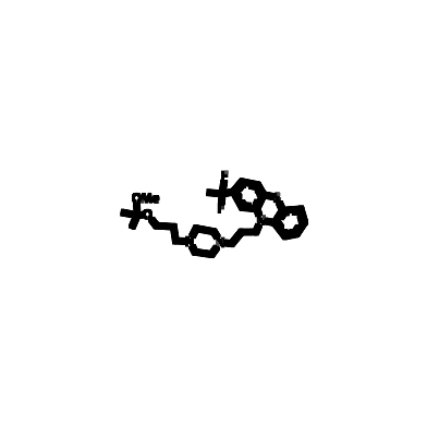 COC(C)(C)OCCCN1CCN(CCCN2c3ccccc3Sc3ccc(C(C)(F)F)cc32)CC1